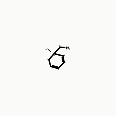 C[C@]1(CN)C=CC=CC1